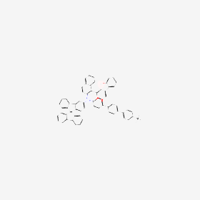 CC(C)(C)c1ccc(-c2ccc(-c3ccc(N(c4ccc5c(c4)-c4ccccc4C54c5ccccc5-c5ccccc54)c4ccc5ccccc5c4-c4cccc5c4oc4ccccc45)cc3)cc2)cc1